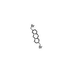 BrCc1ccc2cc3cc(CBr)ccc3cc2c1